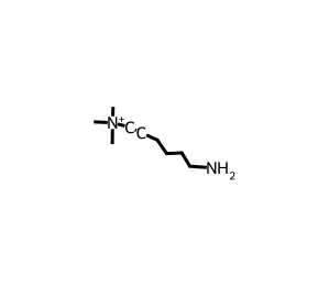 C[N+](C)(C)CCCCCCN